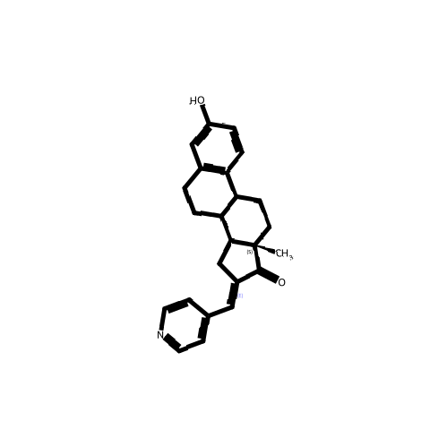 C[C@]12CCC3c4ccc(O)cc4CCC3C1C/C(=C\c1ccncc1)C2=O